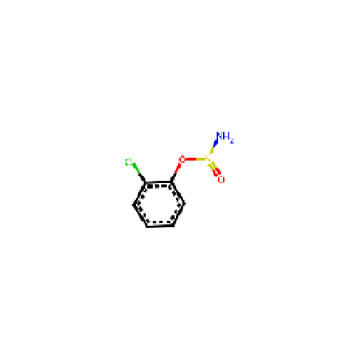 NS(=O)Oc1ccccc1Cl